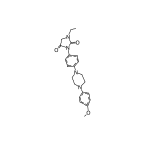 CCN1CC(=O)N(c2ccc(N3CCN(c4ccc(OC)cc4)CC3)cc2)C1=O